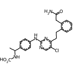 CC(NC(=O)O)c1ccc(Nc2ncc(Cl)c(CCc3ccccc3CC(N)=O)n2)cc1